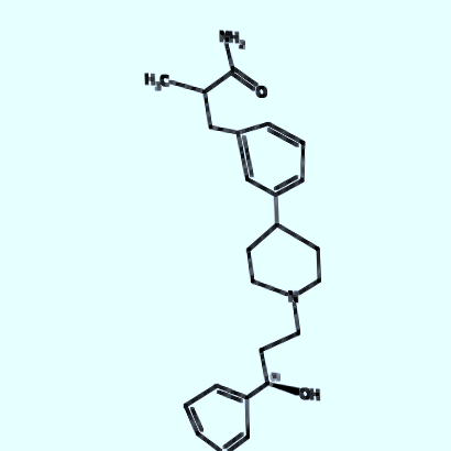 CC(Cc1cccc(C2CCN(CC[C@@H](O)c3ccccc3)CC2)c1)C(N)=O